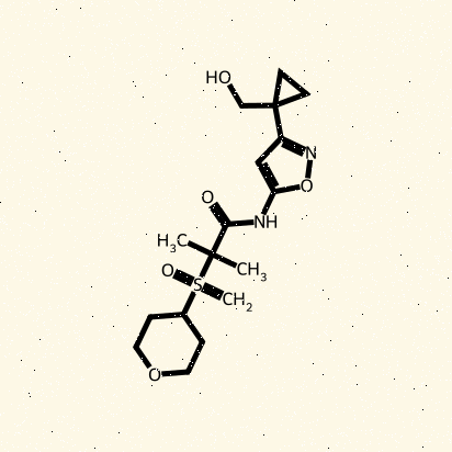 C=S(=O)(C1CCOCC1)C(C)(C)C(=O)Nc1cc(C2(CO)CC2)no1